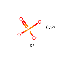 O=P([O-])([O-])[O-].[Ca+2].[K+]